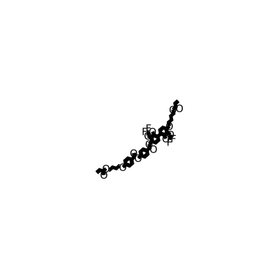 C=CC(=O)OCCCCOc1ccc(C(=O)Oc2ccc(C(=O)Oc3ccc(-c4ccc(OCCCCOC(=O)C=C)c5c4OC(F)(F)O5)c4c3OC(F)(F)O4)cc2)cc1